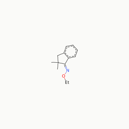 CCON=C1c2ccccc2CC1(C)C